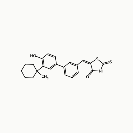 CC1(c2cc(-c3cccc(C=C4SC(=S)NC4=O)c3)ccc2O)CCCCC1